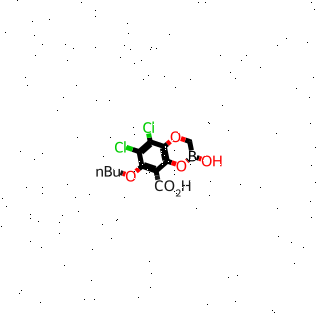 CCCCOc1c(Cl)c(Cl)c2c(c1C(=O)O)OB(O)CO2